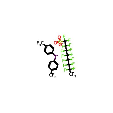 FC(F)(F)c1ccc([I+]c2ccc(C(F)(F)F)cc2)cc1.O=S(=O)([O-])C(F)(F)C(F)(F)C(F)(F)C(F)(F)C(F)(F)C(F)(F)C(F)(F)C(F)(F)F